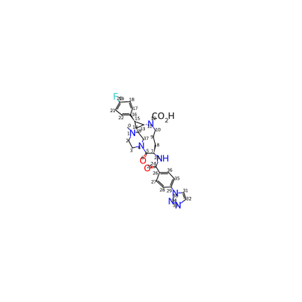 CN1CCN(C(=O)[C@@H](CCCN(C(=O)O)[C@@H]2C[C@H]2c2ccc(F)cc2)NC(=O)c2ccc(-n3ccnn3)cc2)CC1